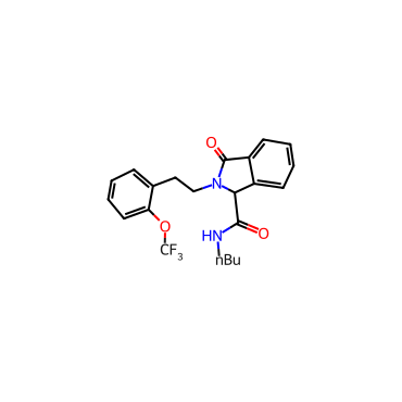 CCCCNC(=O)C1c2ccccc2C(=O)N1CCc1ccccc1OC(F)(F)F